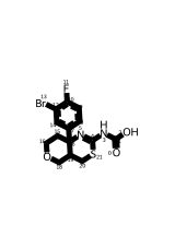 O=C(O)NC1=NC2(c3ccc(F)c(Br)c3)CCOCC2CS1